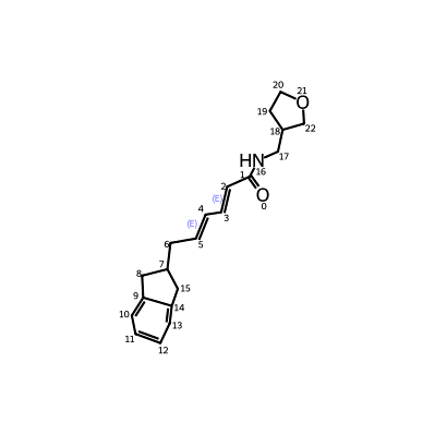 O=C(/C=C/C=C/CC1Cc2ccccc2C1)NCC1CCOC1